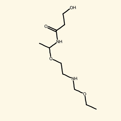 CCOCNCCOC(C)NC(=O)CCO